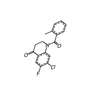 Cc1ccccc1C(=O)N1CCC(=O)c2cc(F)c(Cl)cc21